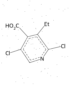 CCc1c(Cl)ncc(Cl)c1C(=O)O